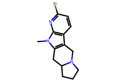 Cn1c2c(c3ccc(Br)nc31)CN1CCCC1C2